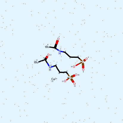 CC(C)(C)C(=O)NCCCS(=O)(=O)[O-].CC(C)(C)C(=O)NCCCS(=O)(=O)[O-].[Ca+2]